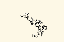 CC(C)c1cc(Oc2c(Br)cc(N(CC(=O)O)C(=O)c3ccccc3)cc2Br)ccc1O